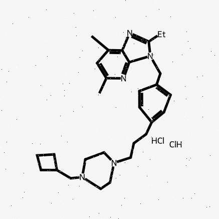 CCc1nc2c(C)cc(C)nc2n1Cc1ccc(CCCN2CCN(CC3CCC3)CC2)cc1.Cl.Cl